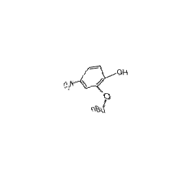 CCCCOc1cc([N+](=O)[O-])ccc1O